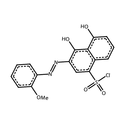 COc1ccccc1/N=N/c1cc(S(=O)(=O)Cl)c2cccc(O)c2c1O